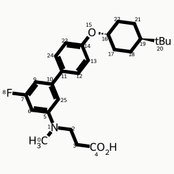 CN(CCC(=O)O)c1cc(F)cc(-c2ccc(O[C@H]3CC[C@H](C(C)(C)C)CC3)cc2)c1